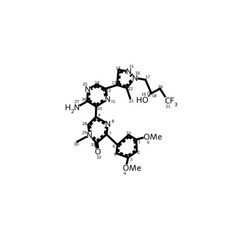 COc1cc(OC)cc(-c2nc(-c3nc(-c4cnn(C[C@@H](O)CC(F)(F)F)c4C)cnc3N)cn(C)c2=O)c1